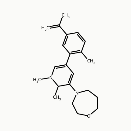 C=C(C)c1ccc(C)c(C2=CN(C)C(C)C(N3CCCOCC3)=C2)c1